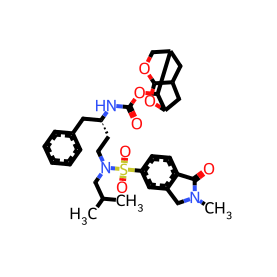 CC(C)CN(CC[C@H](Cc1ccccc1)NC(=O)OC1C2COC3OC1CC3C2)S(=O)(=O)c1ccc2c(c1)CN(C)C2=O